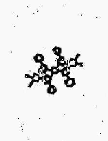 C#CCCC[n+]1cc(-c2ccccc2)cc(-c2cc(-c3cc(-c4ccccc4)c[n+](CCCC#C)c3)c(-c3cc(-c4ccccc4)c[n+](CCCC#C)c3)cc2-c2cc(-c3ccccc3)c[n+](CCCC#C)c2)c1